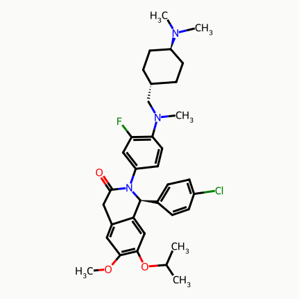 COc1cc2c(cc1OC(C)C)[C@H](c1ccc(Cl)cc1)N(c1ccc(N(C)C[C@H]3CC[C@H](N(C)C)CC3)c(F)c1)C(=O)C2